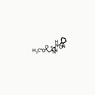 CCOC(=O)Cc1nnc(Nc2onc3ccccc23)s1